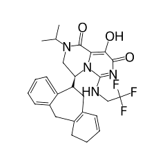 CC(C)N1C[C@H](C2CC3=C(CCC=C3)Cc3ccccc32)n2c(NCC(F)(F)F)nc(=O)c(O)c2C1=O